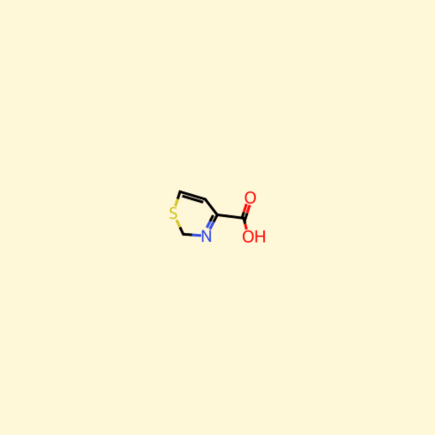 O=C(O)C1=NCSC=C1